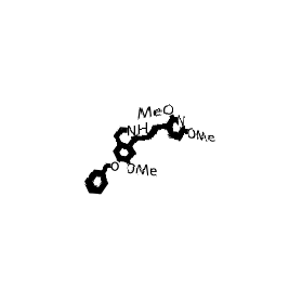 COc1ccc(C=CC2NCCc3cc(OCc4ccccc4)c(OC)cc32)c(OC)n1